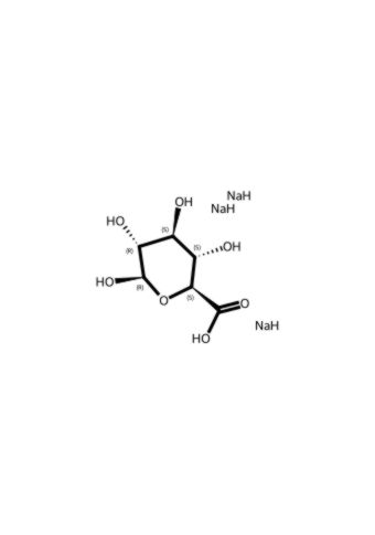 O=C(O)[C@H]1O[C@@H](O)[C@H](O)[C@@H](O)[C@@H]1O.[NaH].[NaH].[NaH]